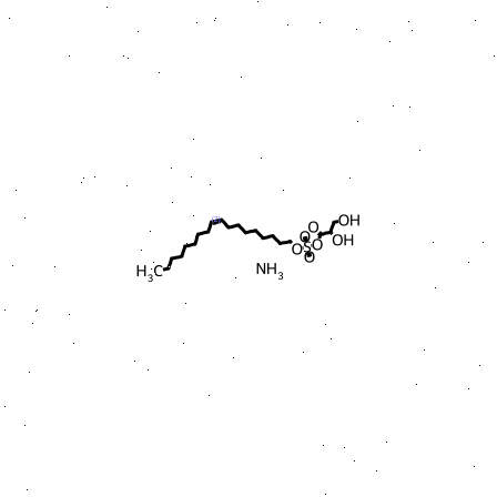 CCCCCCCC/C=C\CCCCCCCCOS(=O)(=O)OC(=O)C(O)CO.N